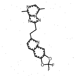 Cc1ncc(C)n2nc(CCc3ccc4cc5c(cc4n3)OC(F)(F)O5)nc12